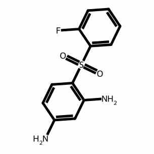 Nc1ccc(S(=O)(=O)c2ccccc2F)c(N)c1